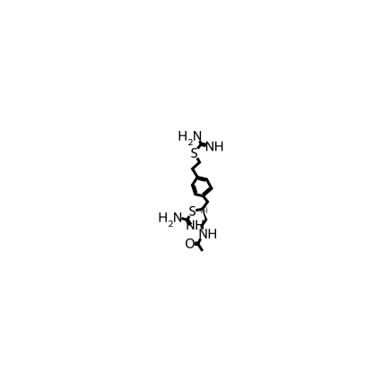 CC(=O)NCC[C@H](Cc1ccc(CCSC(=N)N)cc1)SC(=N)N